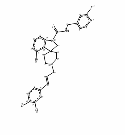 O=C(NCc1ccnc(F)c1)N1CC2(CCN(CC=Cc3ccc(Cl)c(Cl)c3)CC2)c2c(Br)cccc21